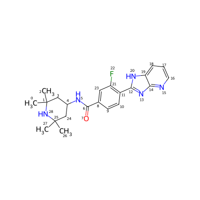 CC1(C)CC(NC(=O)c2ccc(-c3nc4ncccc4[nH]3)c(F)c2)CC(C)(C)N1